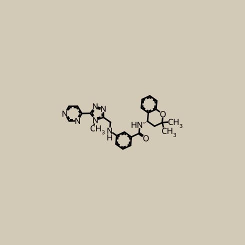 Cn1c(CNc2cccc(C(=O)N[C@H]3CC(C)(C)Oc4ccccc43)c2)nnc1-c1ccncn1